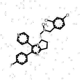 CN(Cc1ccc(Cl)cc1Cl)C[C@@H]1CCc2nc(-c3ccc(F)cc3)c(-c3ccncc3)n21